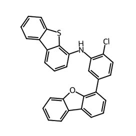 Clc1ccc(-c2cccc3c2oc2ccccc23)cc1Nc1cccc2c1sc1ccccc12